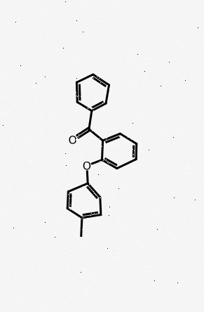 Cc1ccc(Oc2ccccc2C(=O)c2ccccc2)cc1